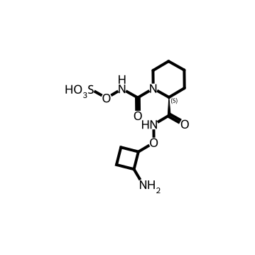 NC1CCC1ONC(=O)[C@@H]1CCCCN1C(=O)NOS(=O)(=O)O